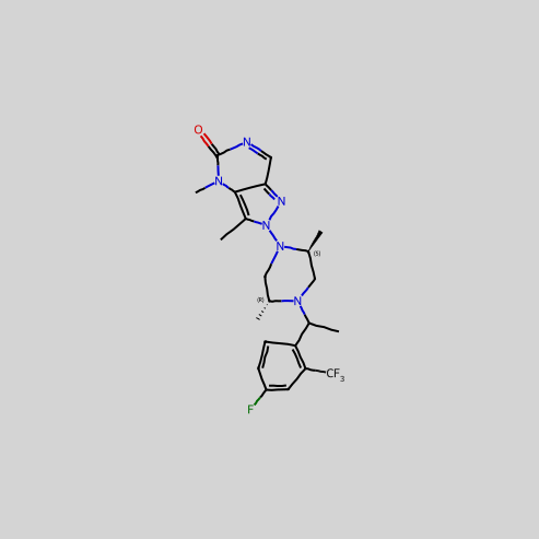 Cc1c2c(cnc(=O)n2C)nn1N1C[C@@H](C)N(C(C)c2ccc(F)cc2C(F)(F)F)C[C@@H]1C